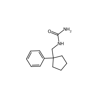 NC(=O)NCC1(c2ccccc2)CCCC1